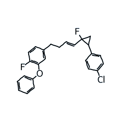 Fc1ccc(CCC=CC2(F)CC2c2ccc(Cl)cc2)cc1Oc1ccccc1